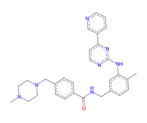 Cc1ccc(CNC(=O)c2ccc(CN3CCN(C)CC3)cc2)cc1Nc1nccc(-c2cccnc2)n1